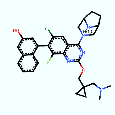 CN(C)CC1(COc2nc(N3CC4CCC(C3)N4C(=O)O)c3cc(Cl)c(-c4cc(O)cc5ccccc45)c(F)c3n2)CC1